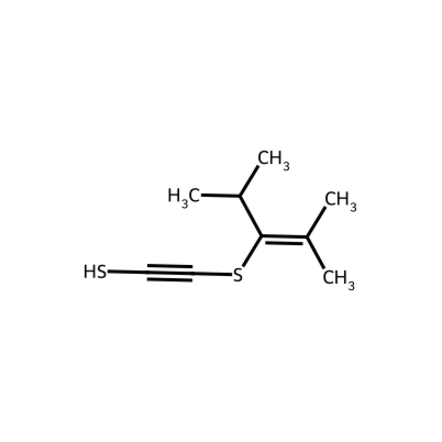 CC(C)=C(SC#CS)C(C)C